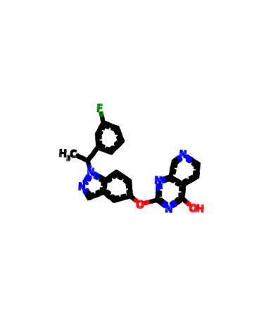 CC(c1cccc(F)c1)n1ncc2cc(Oc3nc(O)c4ccncc4n3)ccc21